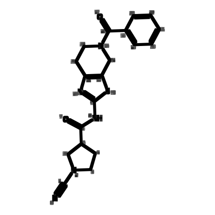 N#CN1CCC(C(=O)Nc2nc3c(s2)CN(C(=O)c2ccccc2)CC3)C1